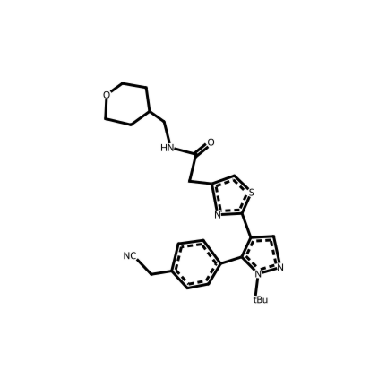 CC(C)(C)n1ncc(-c2nc(CC(=O)NCC3CCOCC3)cs2)c1-c1ccc(CC#N)cc1